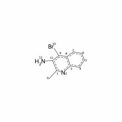 Cc1nc2ccccc2c(Br)c1N